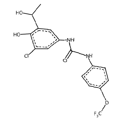 CC(O)c1cc(NC(=O)Nc2ccc(OC(F)(F)F)cc2)cc(Cl)c1O